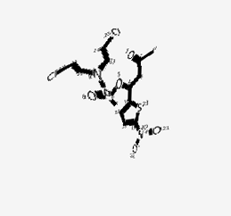 CC(=O)CC(OP(C)(=O)N(CCCl)CCCl)c1ccc([N+](=O)[O-])s1